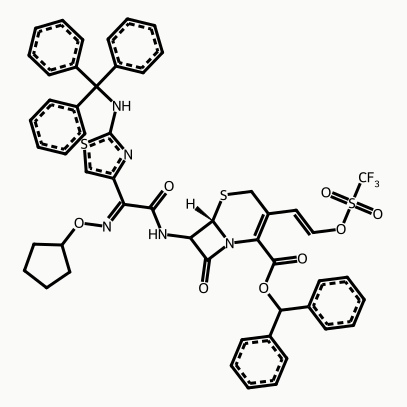 O=C(NC1C(=O)N2C(C(=O)OC(c3ccccc3)c3ccccc3)=C(C=COS(=O)(=O)C(F)(F)F)CS[C@@H]12)C(=NOC1CCCC1)c1csc(NC(c2ccccc2)(c2ccccc2)c2ccccc2)n1